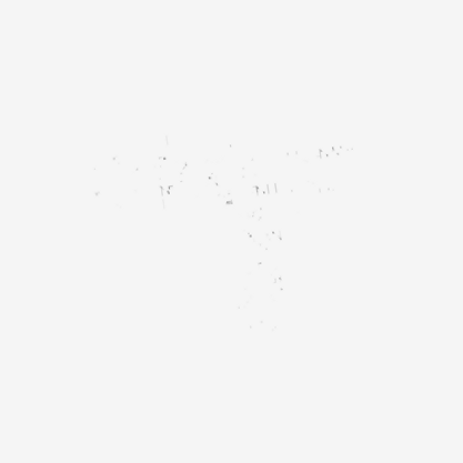 CNC(=O)C(=O)CC[C@H](NC(=O)c1cc2ccccc2o1)C(=O)Nc1cccn(CC(=O)NC2C(C)CC3CCCC2C3)c1=O